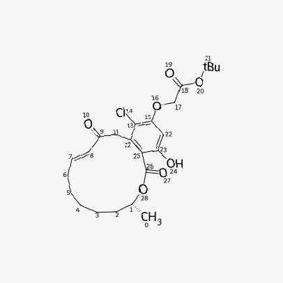 C[C@@H]1CCCCC/C=C/C(=O)Cc2c(Cl)c(OCC(=O)OC(C)(C)C)cc(O)c2C(=O)O1